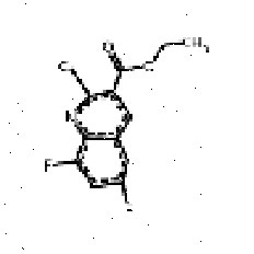 CCOC(=O)c1cc2cc(F)cc(F)c2nc1Cl